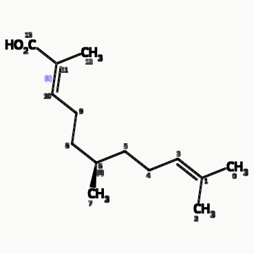 CC(C)=CCC[C@@H](C)CC/C=C(\C)C(=O)O